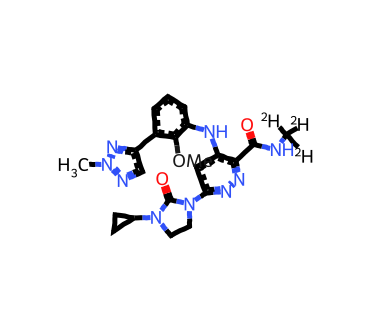 [2H]C([2H])([2H])NC(=O)c1nnc(N2CCN(C3CC3)C2=O)cc1Nc1cccc(-c2cnn(C)n2)c1OC